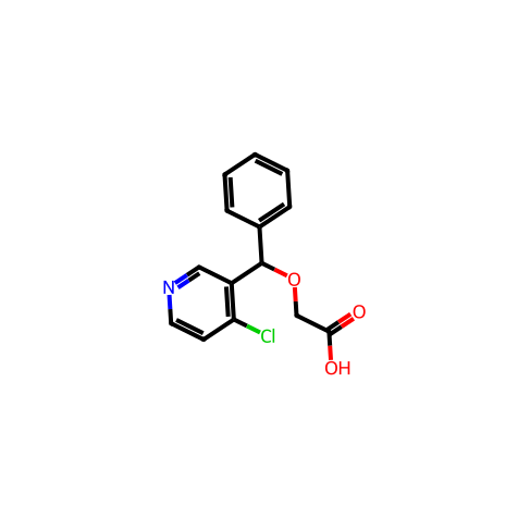 O=C(O)COC(c1ccccc1)c1cnccc1Cl